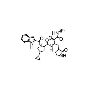 CC(C)NC(=O)C(=O)C(CC1CCNC1=O)NC(=O)C1CC(C2CC2)CN1C(=O)c1cc2ccccc2[nH]1